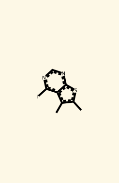 Cc1sc2ncnc(I)c2c1C